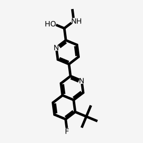 CNC(O)c1ccc(-c2cc3ccc(F)c(C(C)(C)C)c3cn2)cn1